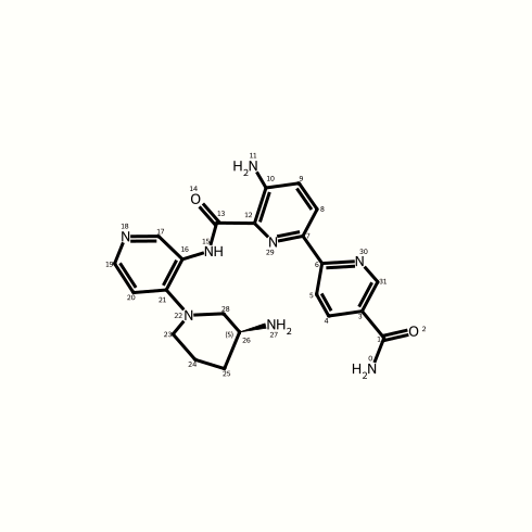 NC(=O)c1ccc(-c2ccc(N)c(C(=O)Nc3cnccc3N3CCC[C@H](N)C3)n2)nc1